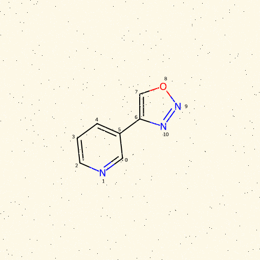 [c]1ncccc1-c1conn1